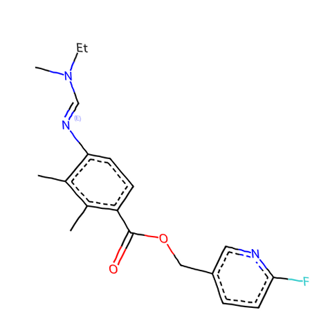 CCN(C)/C=N/c1ccc(C(=O)OCc2ccc(F)nc2)c(C)c1C